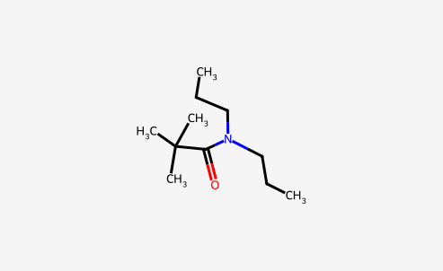 CCCN(CCC)C(=O)C(C)(C)C